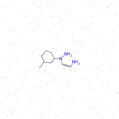 CC1CCCC(N(N)/C=C\N)C1